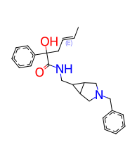 C/C=C/CC(O)(C(=O)NCC1C2CN(Cc3ccccc3)CC12)c1ccccc1